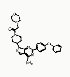 Nc1nc(-c2ccc(Oc3ccccc3)cc2)nc2c1cnn2C1CCN(C(=O)CN2CCOCC2)CC1